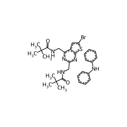 CC(C)(C)C(=O)NCc1nc(CNC(=O)C(C)(C)C)c2cc(Br)sc2n1.c1ccc(Nc2ccccc2)cc1